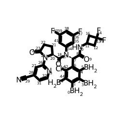 Bc1c(B)c(B)c([C@@H](C(=O)NC2CC(F)(F)C2)N(C(=O)[C@@H]2CCC(=O)N2c2cc(C#N)ccn2)c2cc(F)cc(F)c2)c(Cl)c1B